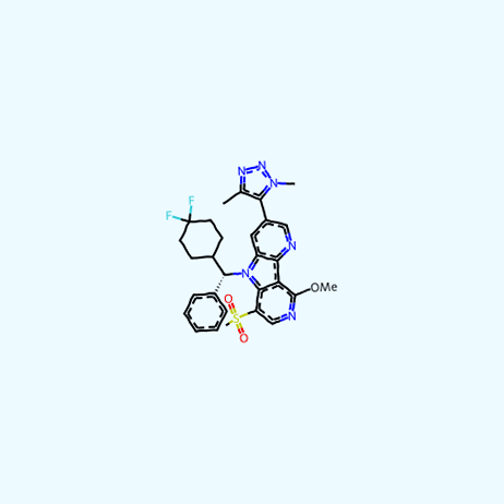 COc1ncc(S(C)(=O)=O)c2c1c1ncc(-c3c(C)nnn3C)cc1n2[C@H](c1ccccc1)C1CCC(F)(F)CC1